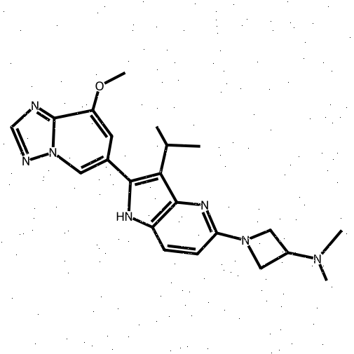 COc1cc(-c2[nH]c3ccc(N4CC(N(C)C)C4)nc3c2C(C)C)cn2ncnc12